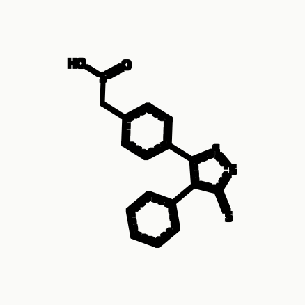 O=S(O)Cc1ccc(-c2ssc(=S)c2-c2ccccc2)cc1